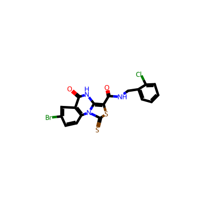 O=C(NCc1ccccc1Cl)c1sc(=S)n2c1[nH]c(=O)c1cc(Br)ccc12